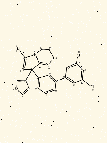 NC1=NC(c2ccoc2)(c2cccc(-c3cc(Cl)cc(Cl)c3)c2)C2=NCCCN12